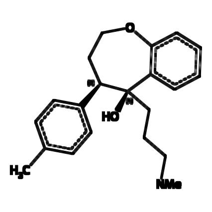 CNCCC[C@@]1(O)c2ccccc2OCC[C@@H]1c1ccc(C)cc1